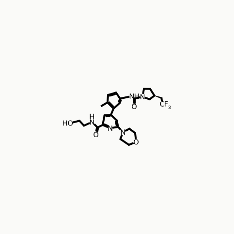 Cc1ccc(NC(=O)N2CC[C@@H](CC(F)(F)F)C2)cc1-c1cc(C(=O)NCCO)nc(N2CCOCC2)c1